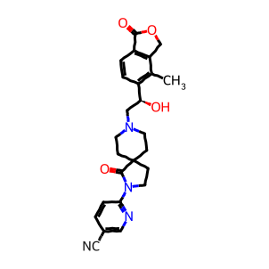 Cc1c([C@@H](O)CN2CCC3(CC2)CCN(c2ccc(C#N)cn2)C3=O)ccc2c1COC2=O